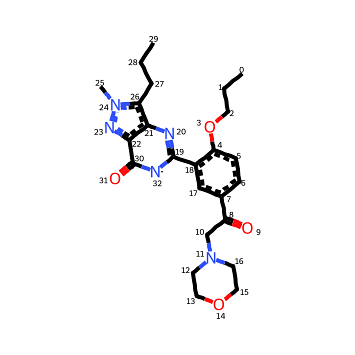 CCCOc1ccc(C(=O)CN2CCOCC2)cc1C1=Nc2c(nn(C)c2CCC)C(=O)[N]1